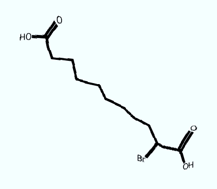 O=C(O)CCCCCCCCC(Br)C(=O)O